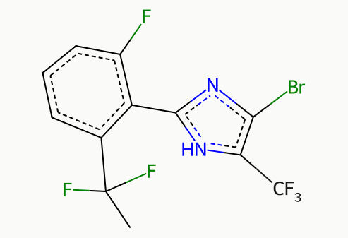 CC(F)(F)c1cccc(F)c1-c1nc(Br)c(C(F)(F)F)[nH]1